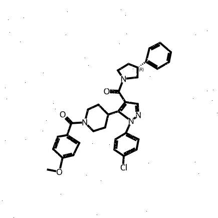 COc1ccc(C(=O)N2CCC(c3c(C(=O)N4CC[C@H](c5ccccc5)C4)cnn3-c3ccc(Cl)cc3)CC2)cc1